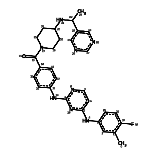 Cc1cc(Nc2ccnc(Nc3ccc(C(=O)N4CCC(NC(C)c5cncnc5)CC4)cc3)n2)ccc1F